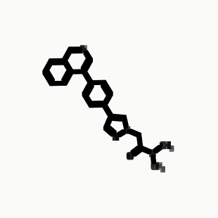 CN(C)C(=O)Cn1cc(-c2ccc(-c3cncc4ccccc34)cc2)cn1